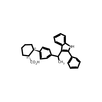 CC(c1ccc([C@@H]2CCCC[C@H]2C(=O)O)cc1)c1c(-c2ccccc2)[nH]c2ccccc12